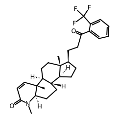 CN1C(=O)C=C[C@]2(C)[C@H]3CC[C@]4(C)[C@@H](CCC(=O)c5ccccc5C(F)(F)F)CC[C@H]4[C@@H]3CC[C@@H]12